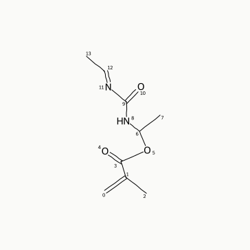 C=C(C)C(=O)OC(C)NC(=O)N=CC